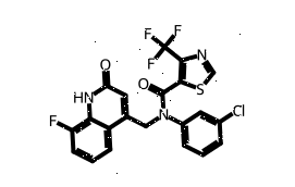 O=C(c1scnc1C(F)(F)F)N(Cc1cc(=O)[nH]c2c(F)cccc12)c1cccc(Cl)c1